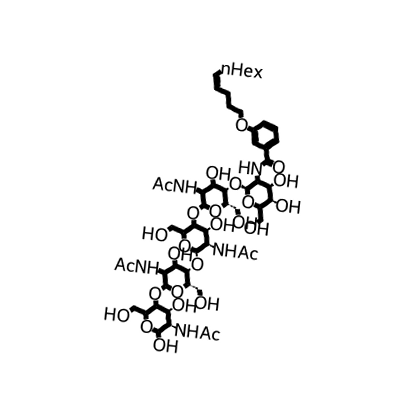 CCCCCC/C=C\CCCOc1cccc(C(=O)NC2[C@H](O[C@H]3C(O)C(NC(C)=O)C(OC4C(CO)O[C@@H](O[C@H]5C(O)C(NC(C)=O)C(OC6C(CO)OC(O)[C@@H](NC(C)=O)[C@H]6O)O[C@H]5CO)[C@@H](NC(C)=O)[C@H]4O)O[C@H]3CO)OC(CO)[C@@H](O)[C@@H]2O)c1